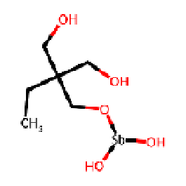 CCC(CO)(CO)C[O][Sb]([OH])[OH]